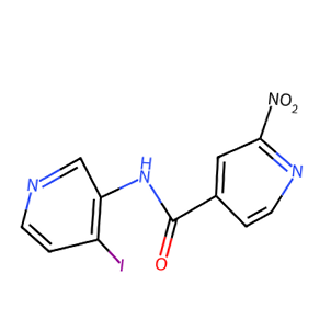 O=C(Nc1cnccc1I)c1ccnc([N+](=O)[O-])c1